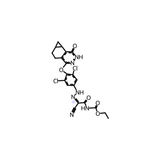 CCOC(=O)NC(=O)/C(C#N)=N\Nc1cc(Cl)c(Oc2n[nH]c(=O)c3c2CCC2CC32)c(Cl)c1